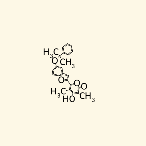 Cc1c(-c2cc3cc(OC(C)(C)c4ccccc4)ccc3o2)oc(=O)c(C)c1O